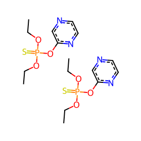 CCOP(=S)(OCC)Oc1cnccn1.CCOP(=S)(OCC)Oc1cnccn1